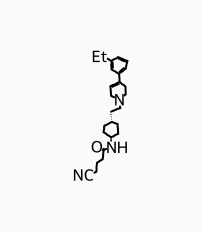 CCc1cccc(C2=CCN(CC[C@H]3CC[C@H](NC(=O)CCCC#N)CC3)CC2)c1